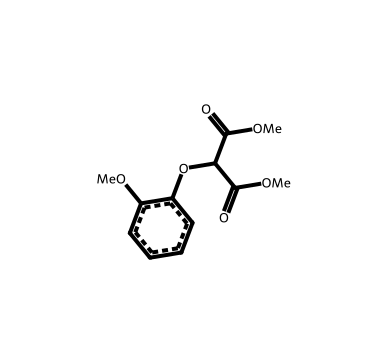 COC(=O)C(Oc1ccccc1OC)C(=O)OC